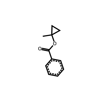 CC1(OC(=O)c2ccccc2)CC1